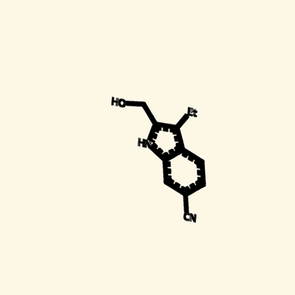 CCc1c(CO)[nH]c2cc(C#N)ccc12